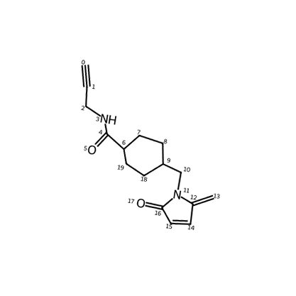 C#CCNC(=O)C1CCC(CN2C(=C)C=CC2=O)CC1